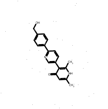 Cc1cc(=O)c(-c2ccc(-c3ccc(CO)cc3)nc2)c(C)[nH]1